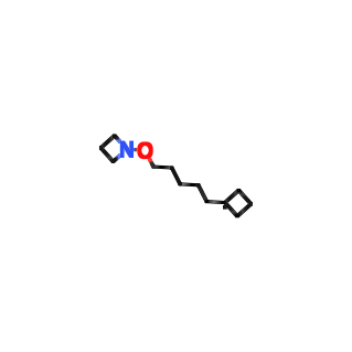 C(CCON1CCC1)CC[C]1CCC1